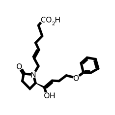 O=C(O)CCCC=CCN1C(=O)CC[C@@H]1C(O)=CCCOc1ccccc1